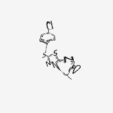 Cc1cn2nc(Sc3ccc(Cl)cc3)sc2nc1=O